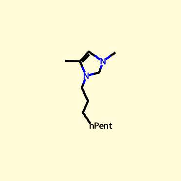 CCCCCCCCN1CN(C)C=C1C